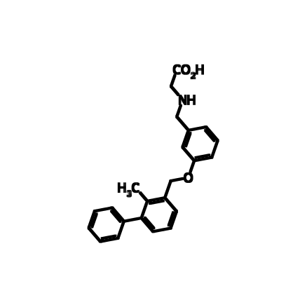 Cc1c(COc2cccc(CNCC(=O)O)c2)cccc1-c1ccccc1